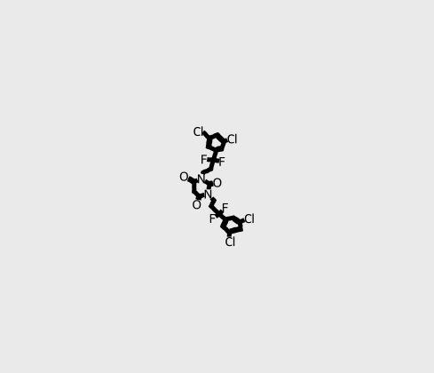 O=C1CC(=O)N(CCC(F)(F)c2cc(Cl)cc(Cl)c2)C(=O)N1CCC(F)(F)c1cc(Cl)cc(Cl)c1